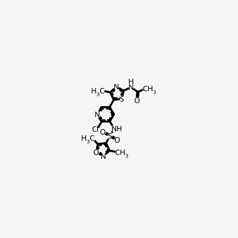 CC(=O)Nc1nc(C)c(-c2cnc(Cl)c(NS(=O)(=O)c3c(C)noc3C)c2)s1